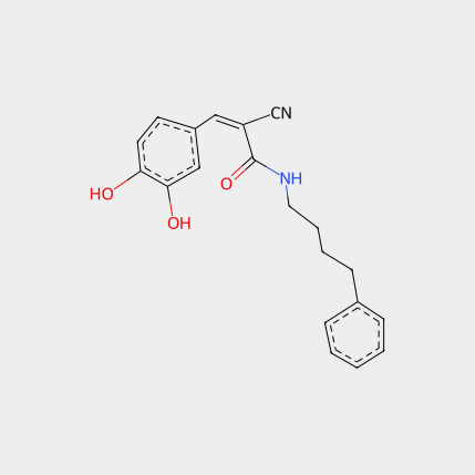 N#CC(=Cc1ccc(O)c(O)c1)C(=O)NCCCCc1ccccc1